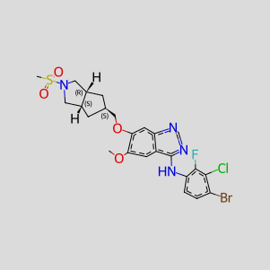 COc1cc2c(Nc3ccc(Br)c(Cl)c3F)ncnc2cc1OC[C@H]1C[C@@H]2CN(S(C)(=O)=O)C[C@@H]2C1